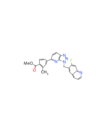 COC(=O)c1ccc(-c2ccc3nnn(Cc4cc5cccnc5cc4F)c3n2)cc1C